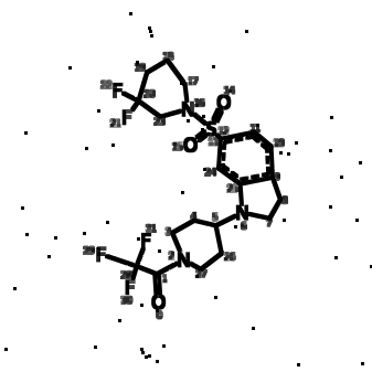 O=C(N1CCC(N2CCc3ccc(S(=O)(=O)N4CCCC(F)(F)C4)cc32)CC1)C(F)(F)F